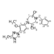 COc1cc(N2CCC(=O)N(Cc3ccccc3)CC2C)ccc1N1CNC(C)=N1